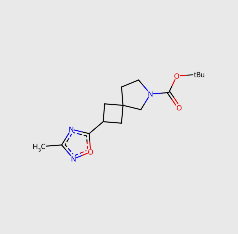 Cc1noc(C2CC3(CCN(C(=O)OC(C)(C)C)C3)C2)n1